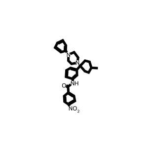 CC1CCC(c2cccc(NC(=O)c3ccc([N+](=O)[O-])cc3)c2)(N2CCN(c3ccccc3)CC2)CC1